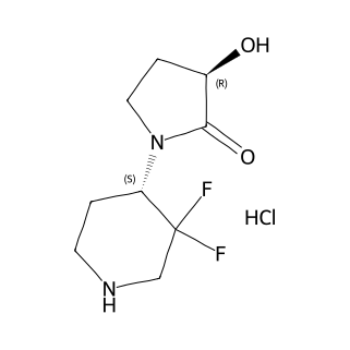 Cl.O=C1[C@H](O)CCN1[C@H]1CCNCC1(F)F